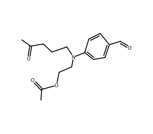 CC(=O)CCCN(CCOC(C)=O)c1ccc(C=O)cc1